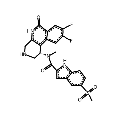 CN(C(=O)c1cc2cc(S(C)(=O)=O)ccc2[nH]1)[C@@H]1CNCc2[nH]c(=O)c3cc(F)c(F)cc3c21